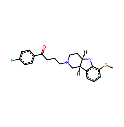 CSc1cccc2c1N[C@H]1CCN(CCCC(=O)c3ccc(F)cc3)C[C@@H]21